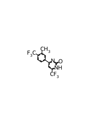 Cc1cc(-c2cc(C(F)(F)F)[nH]c(=O)n2)ccc1C(F)(F)F